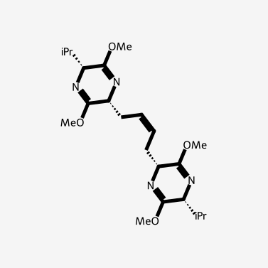 COC1=N[C@H](C(C)C)C(OC)=N[C@@H]1C/C=C\C[C@H]1N=C(OC)[C@@H](C(C)C)N=C1OC